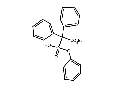 CCOC(=O)C(c1ccccc1)(c1ccccc1)P(=O)(O)Oc1ccccc1